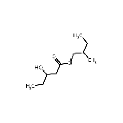 CCC(C)COC(=O)CC(O)CC